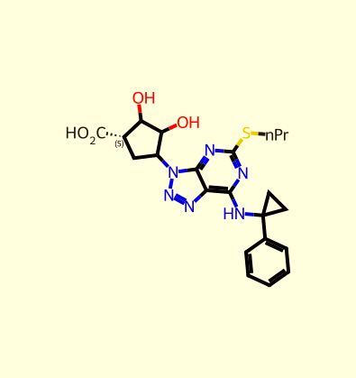 CCCSc1nc(NC2(c3ccccc3)CC2)c2nnn(C3C[C@H](C(=O)O)C(O)C3O)c2n1